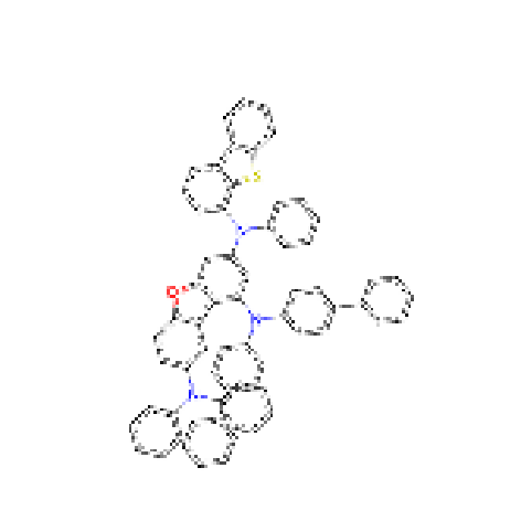 c1ccc(-c2ccc(N(c3ccc(-c4ccccc4)cc3)c3cc(N(c4ccccc4)c4cccc5c4sc4ccccc45)cc4oc5ccc(N(c6ccccc6)c6ccccc6)cc5c34)cc2)cc1